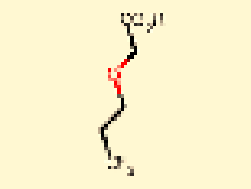 O=C(O)COCCC(F)(F)F